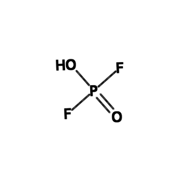 O=P(O)(F)F